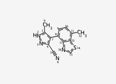 Cc1[nH]nc(C#N)c1-c1ccc(C)c2scnc12